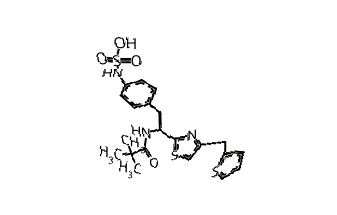 CC(C)(C)C(=O)NC(Cc1ccc(NS(=O)(=O)O)cc1)c1nc(Cc2cccs2)cs1